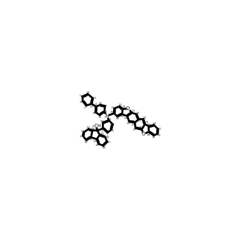 CC1(c2cccc(N(c3ccc(-c4ccccc4)cc3)c3ccc4oc5cc6cc7c(cc6cc5c4c3)oc3ccccc37)c2)c2ccccc2-c2ccccc21